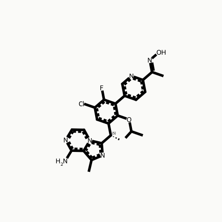 CC(=NO)c1ccc(-c2c(F)c(Cl)cc([C@H](C)c3nc(C)c4c(N)nccn34)c2OC(C)C)cn1